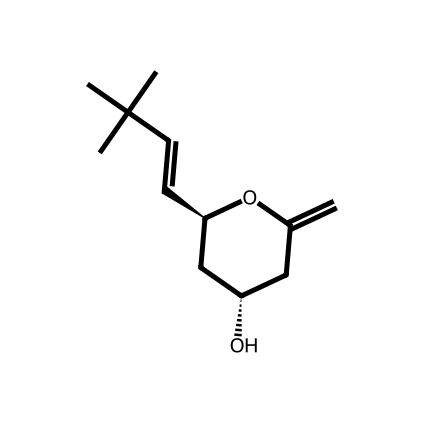 C=C1C[C@H](O)C[C@@H](/C=C/C(C)(C)C)O1